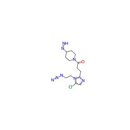 [N-]=[N+]=NCCn1c(Cl)cnc1CCC(=O)N1CCC(N=N)CC1